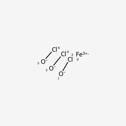 [Fe+3].[O-]Cl.[O-]Cl.[O-]Cl